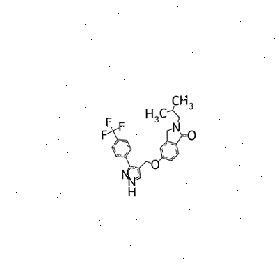 CC(C)CN1Cc2cc(OCc3c[nH]nc3-c3ccc(C(F)(F)F)cc3)ccc2C1=O